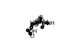 O=C(NS(=O)(=O)c1ccc(N[C@H](CCN2CCNCC2)CSc2ccccc2)c(S(=O)(=O)C(F)(F)F)c1)c1cccc(N2CCC([C@@H](O)c3ccccc3-c3ccc(Cl)cc3)CC2)c1